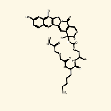 CCNC(=O)COCC(=O)NC(CCCCN)C(=O)NC(COC(=O)OC1(CC)C(=O)OCc2c1cc1n(c2=O)Cc2c-1nc1ccc(O)cc1c2CC)C(C)C